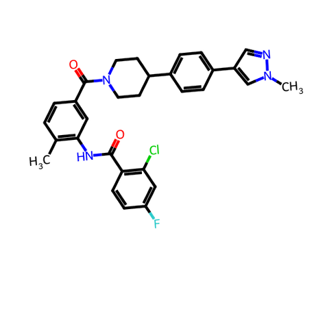 Cc1ccc(C(=O)N2CCC(c3ccc(-c4cnn(C)c4)cc3)CC2)cc1NC(=O)c1ccc(F)cc1Cl